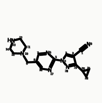 N#Cc1cn(-c2ncc(CN3CCNCC3)cn2)nc1C1CC1